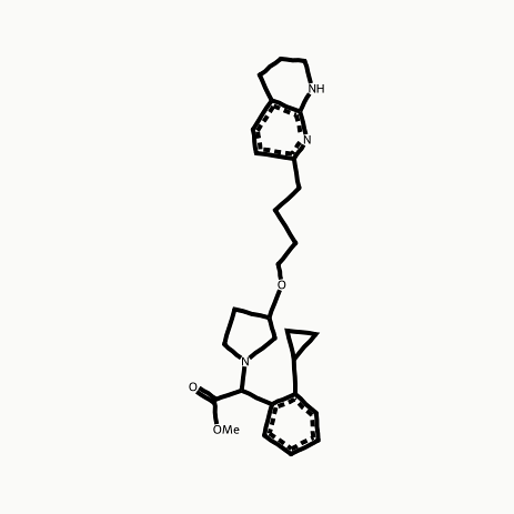 COC(=O)C(c1ccccc1C1CC1)N1CCC(OCCCCc2ccc3c(n2)NCCC3)C1